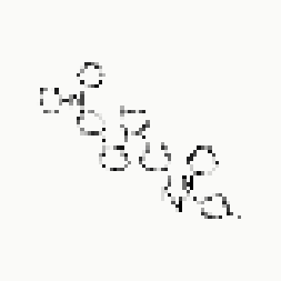 Cc1ccc(-c2nnc(-c3ccc(-c4ccccc4-c4ccccc4-c4ccc(N(c5ccccc5)c5ccccc5)cc4)cc3)n2-c2ccccc2)cc1